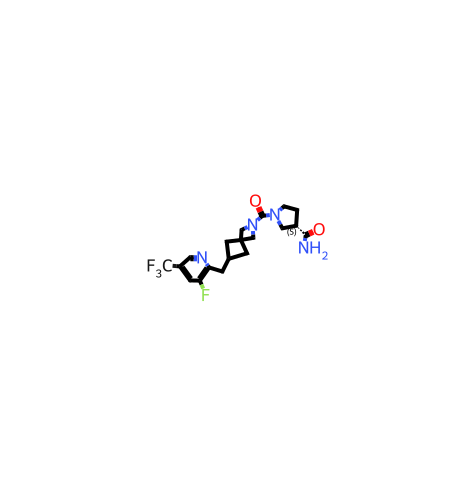 NC(=O)[C@H]1CCN(C(=O)N2CC3(CC(Cc4ncc(C(F)(F)F)cc4F)C3)C2)C1